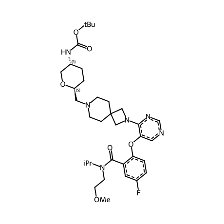 COCCN(C(=O)c1cc(F)ccc1Oc1cncnc1N1CC2(CCN(C[C@@H]3CC[C@@H](NC(=O)OC(C)(C)C)CO3)CC2)C1)C(C)C